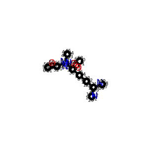 C1=CC2Oc3c(-c4ccc(-c5ccc(-c6cc(-c7ccccn7)cc(-c7ccccn7)c6)cc5)cc4)ccc(-c4nc(-c5ccccc5)nc(-c5ccc6c(c5)oc5ccccc56)n4)c3OC2C=C1